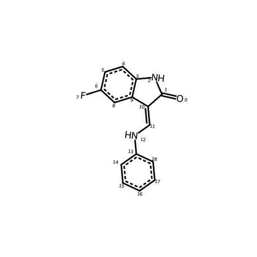 O=C1Nc2ccc(F)cc2/C1=C\Nc1ccccc1